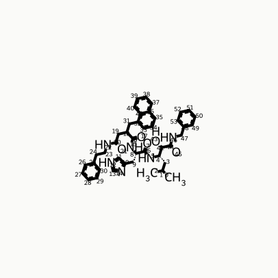 CC(C)C[C@H](NC(=O)[C@H](Cc1c[nH]cn1)NC(=O)C(CC(=O)NCCc1ccccc1)Cc1cccc2ccccc12)C(O)C(=O)NCc1ccccc1